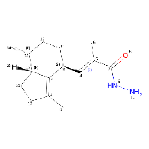 CC1=C2[C@H](/C=C(\C)C(=O)NN)CC[C@@H](C)[C@H]2CC1